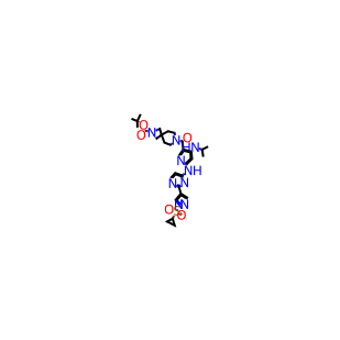 CC(C)Nc1cc(Nc2ccnc(-c3cnn(S(=O)(=O)C4CC4)c3)n2)ncc1C(=O)N1CCC2(CC1)CN(C(=O)OC(C)(C)C)C2